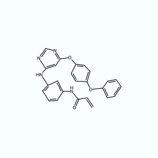 C=CC(=O)Nc1cccc(Nc2cc(Oc3ccc(Oc4ccccc4)cc3)ncn2)c1